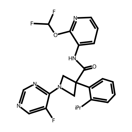 CC(C)c1ccccc1C1(C(=O)Nc2cccnc2OC(F)F)CN(c2ncncc2F)C1